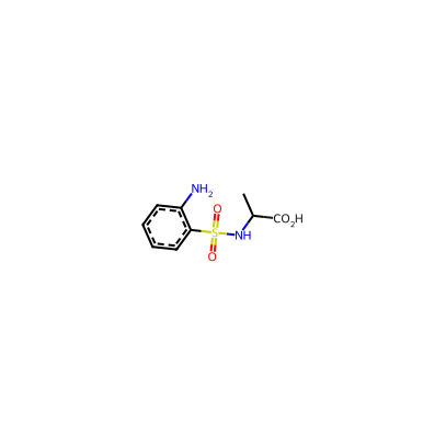 CC(NS(=O)(=O)c1ccccc1N)C(=O)O